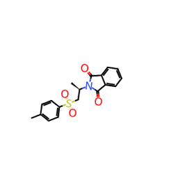 Cc1ccc(S(=O)(=O)C[C@@H](C)N2C(=O)c3ccccc3C2=O)cc1